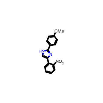 COc1ccc(-c2nc(-c3ccccc3[N+](=O)[O-])c[nH]2)cc1